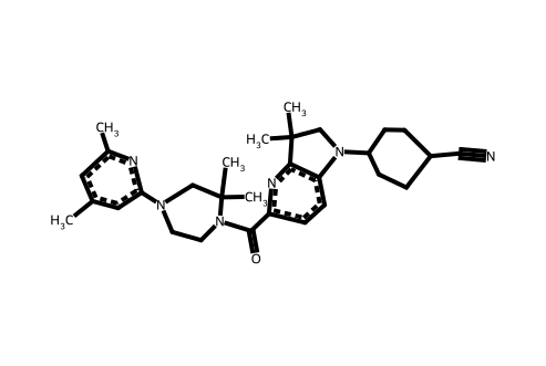 Cc1cc(C)nc(N2CCN(C(=O)c3ccc4c(n3)C(C)(C)CN4C3CCC(C#N)CC3)C(C)(C)C2)c1